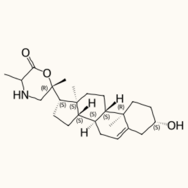 CC1NC[C@@](C)([C@H]2CC[C@H]3[C@@H]4CC=C5C[C@@H](O)CC[C@]5(C)[C@H]4CC[C@@]32C)OC1=O